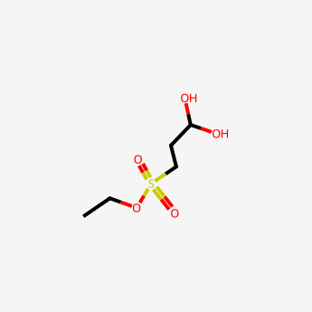 CCOS(=O)(=O)CCC(O)O